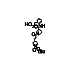 CC(C)(C)OC(=O)N1CCC(C=CC(=O)N2CCCC(C(=O)Nc3ccccc3C(=O)O)C2)CC1